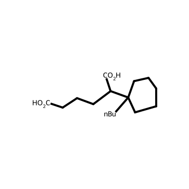 CCCCC1(C(CCCC(=O)O)C(=O)O)CCCCC1